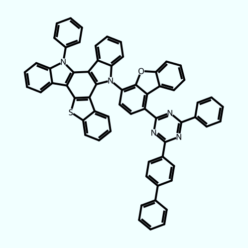 c1ccc(-c2ccc(-c3nc(-c4ccccc4)nc(-c4ccc(-n5c6ccccc6c6c7c(c8ccccc8n7-c7ccccc7)c7sc8ccccc8c7c65)c5oc6ccccc6c45)n3)cc2)cc1